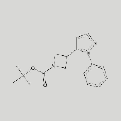 CC(C)(C)OC(=O)N1CC(c2ccnn2-c2ccccc2)C1